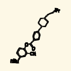 CCCCc1ccc(OC(=O)c2ccc(C3CCC(CCC(C)C)CC3)cc2)c(C#N)c1